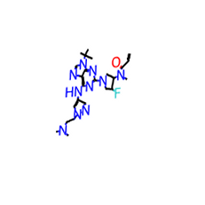 C=CC(=O)N(C)C1CN(c2nc(Nc3cnn(CCN(C)C)c3)c3ncn(C(C)(C)C)c3n2)CC1F